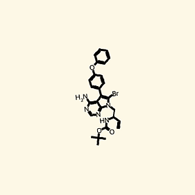 C=C[C@H](Cn1c(Br)c(-c2ccc(Oc3ccccc3)cc2)c2c(N)ncnc21)NC(=O)OC(C)(C)C